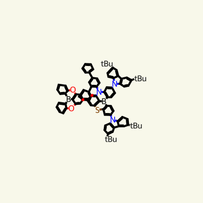 CC(C)(C)c1ccc2c(c1)c1cc(C(C)(C)C)ccc1n2-c1ccc2c(c1)Sc1cc(-c3cc4c5c(c3)Oc3ccccc3B5c3ccccc3O4)cc3c1B2c1ccc(-n2c4ccc(C(C)(C)C)cc4c4cc(C(C)(C)C)ccc42)cc1N3c1ccc(-c2ccccc2)cc1-c1ccccc1